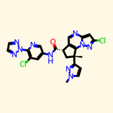 Cn1ccc([C@]2(C)C[C@H](C(=O)Nc3cnc(-n4nccn4)c(Cl)c3)c3cnc4cc(Cl)nn4c32)n1